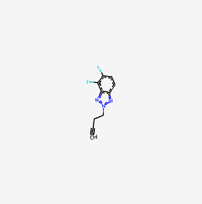 C#CCCn1nc2ccc(F)c(F)c2n1